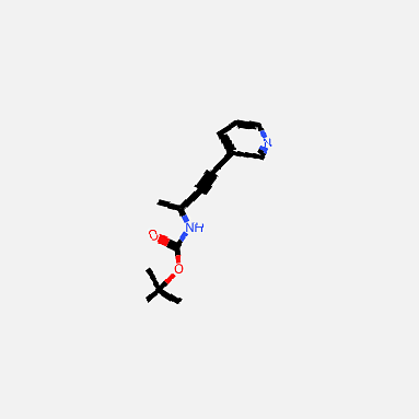 CC(C#Cc1cccnc1)NC(=O)OC(C)(C)C